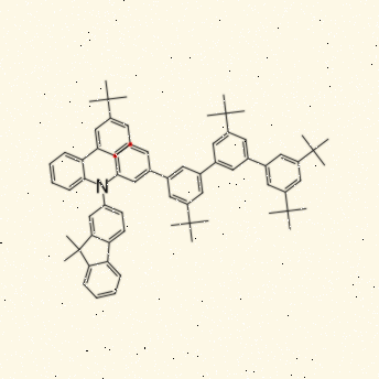 CC(C)(C)c1cc(-c2cccc(N(c3ccc4c(c3)C(C)(C)c3ccccc3-4)c3ccccc3-c3cccc(C(C)(C)C)c3)c2)cc(-c2cc(-c3cc(C(C)(C)C)cc(C(C)(C)C)c3)cc(C(C)(C)C)c2)c1